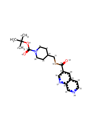 CC(C)(C)OC(=O)N1CCC(CSC(=O)c2cnc3cnccc3c2)CC1